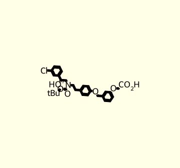 CC(C)(C)OC(=O)N(CCc1ccc(OCc2cccc(OCC(=O)O)c2)cc1)C[C@H](O)c1cccc(Cl)c1